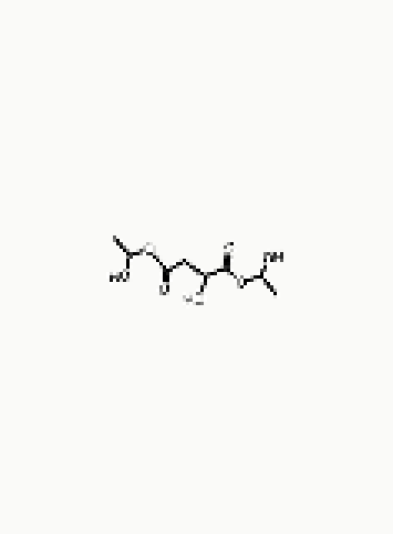 CC(O)OC(=O)CC(O)C(=O)OC(C)O